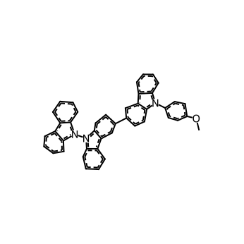 COc1ccc(-n2c3ccccc3c3cc(-c4ccc5c(c4)c4ccccc4n5-n4c5ccccc5c5ccccc54)ccc32)cc1